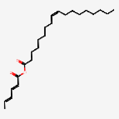 C/C=C/C=C/C(=O)OC(=O)CCCCCCC/C=C\CCCCCCCC